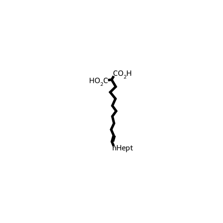 CCCCCCCC=CCCCCCCCCC(C(=O)O)C(=O)O